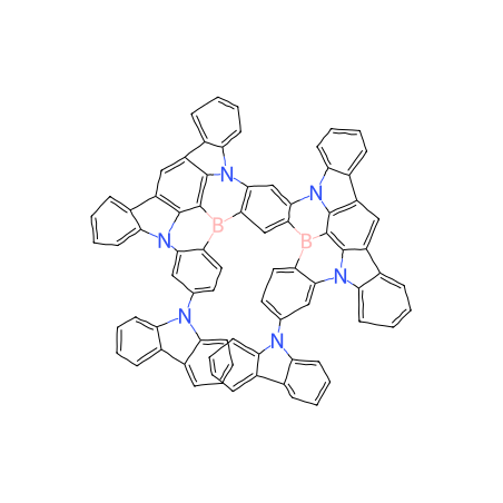 c1ccc2c(c1)c1ccccc1n2-c1ccc2c(c1)-n1c3ccccc3c3cc4c5ccccc5n5c4c(c31)B2c1cc2c(cc1-5)-n1c3ccccc3c3cc4c5ccccc5n5c4c(c31)B2c1ccc(-n2c3ccccc3c3ccccc32)cc1-5